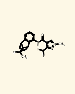 C/C(Cl)=C1/C2CCC1c1c(NC(=O)c3cn(C)nc3C(F)F)cccc12